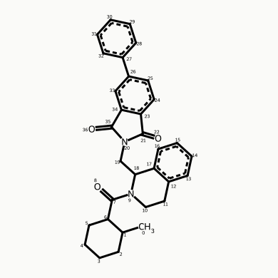 CC1CCCCC1C(=O)N1CCc2ccccc2C1CN1C(=O)c2ccc(-c3ccccc3)cc2C1=O